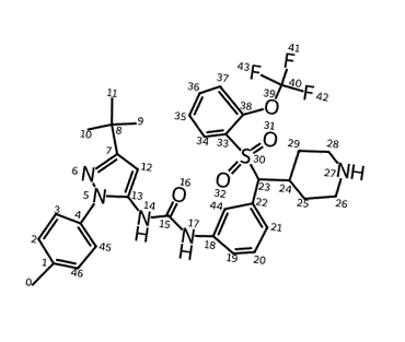 Cc1ccc(-n2nc(C(C)(C)C)cc2NC(=O)Nc2cccc(C(C3CCNCC3)S(=O)(=O)c3ccccc3OC(F)(F)F)c2)cc1